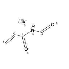 Br.C=CC(=O)NC=O